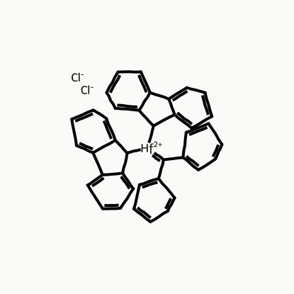 [Cl-].[Cl-].c1ccc([C](c2ccccc2)=[Hf+2]([CH]2c3ccccc3-c3ccccc32)[CH]2c3ccccc3-c3ccccc32)cc1